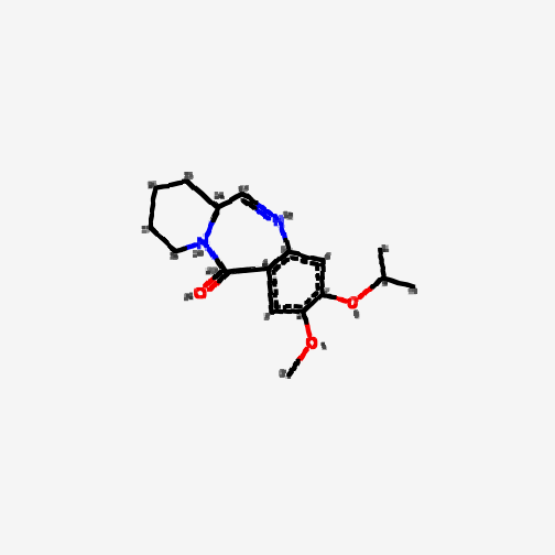 COc1cc2c(cc1OC(C)C)N=CC1CCCCN1C2=O